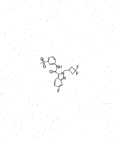 CS(=O)(=O)c1cccc(NC(=O)c2c3ccc(F)cc3nn2CC2CC(F)(F)C2)c1